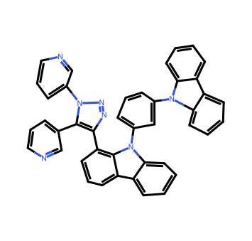 c1cncc(-c2c(-c3cccc4c5ccccc5n(-c5cccc(-n6c7ccccc7c7ccccc76)c5)c34)nnn2-c2cccnc2)c1